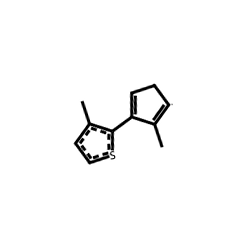 CC1=[C]CC=C1c1sccc1C